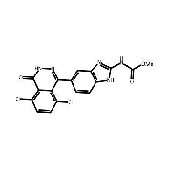 COC(=O)Nc1nc2cc(-c3n[nH]c(=O)c4c(Cl)ccc(Cl)c34)ccc2[nH]1